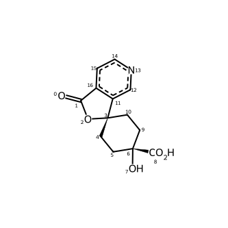 O=C1O[C@]2(CC[C@](O)(C(=O)O)CC2)c2cnccc21